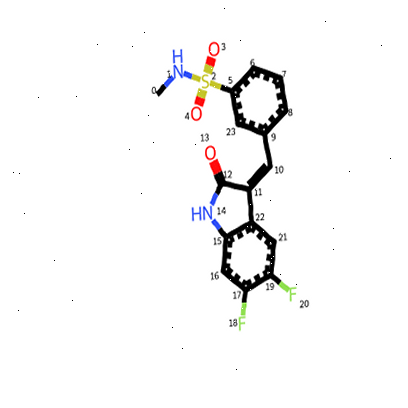 CNS(=O)(=O)c1cccc(C=C2C(=O)Nc3cc(F)c(F)cc32)c1